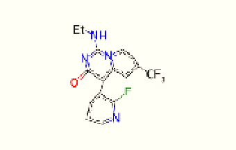 CCNc1nc(=O)c(-c2cccnc2F)c2cc(C(F)(F)F)ccn12